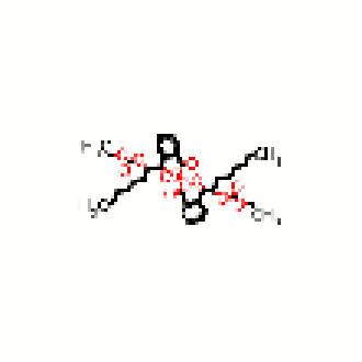 CCCCCCC(OC(=O)OCC)C(=O)c1ccccc1C(=O)OOC(=O)c1ccccc1C(=O)C(CCCCCC)OC(=O)OCC